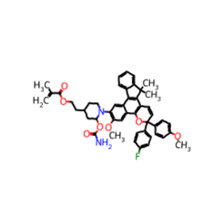 C=C(C)C(=O)OCCC1CCN(c2cc3c4c(c5c(c3cc2OC)OC(c2ccc(F)cc2)(c2ccc(OC)cc2)C=C5)C(C)(C)c2ccccc2-4)C(OC(N)=O)C1